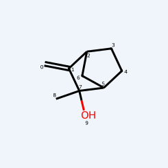 C=C1C2CCC(C2)C1(C)O